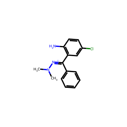 CN(C)/N=C(\c1ccccc1)c1cc(Cl)ccc1N